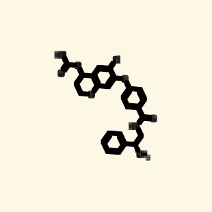 C[C@H](CNC(=O)c1ccc(Oc2cc3c(cc2Cl)C(OC(=O)O)CCO3)cc1)c1ccccc1